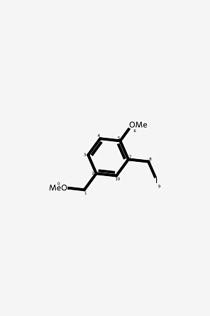 COCc1ccc(OC)c(CI)c1